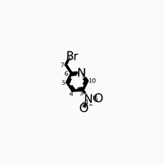 O=[N+]([O-])c1ccc(CBr)nc1